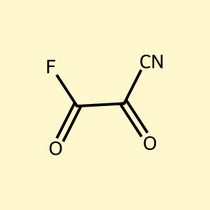 N#CC(=O)C(=O)F